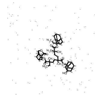 CCC(C)(CCC(C)(CCC(C)(C)C(=O)OC1(CC)C2CC3CC(C2)CC1C3)C(=O)OC12CC3CC(CC(O)(C3)C1)C2)C(=O)OC1C2CC3C(=O)OC1C3C2